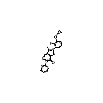 Cc1c2cnn(-c3ncccn3)c(=O)c2cn1-c1cccc(OC2CC2)c1F